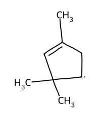 CC1=CC(C)(C)[CH]C1